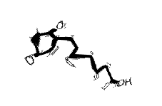 O=C1C=CC(=O)C(CCCCCCO)=C1